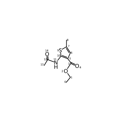 CCOC(=O)c1cc(C)sc1NC(C)=O